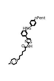 CCCCCc1ccc(SNc2cccc(-c3csc(NC(=O)CCCCCN4CCN(C)CC4)n3)c2)cc1